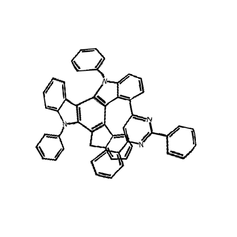 c1ccc(-c2cc(-c3cccc4c3c3c5c(c6c(c7ccccc7n6-c6ccccc6)c3n4-c3ccccc3)Cc3ccccc3-5)nc(-c3ccccc3)n2)cc1